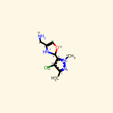 Cc1nn(C)c(C2NC(CN)=CO2)c1Cl